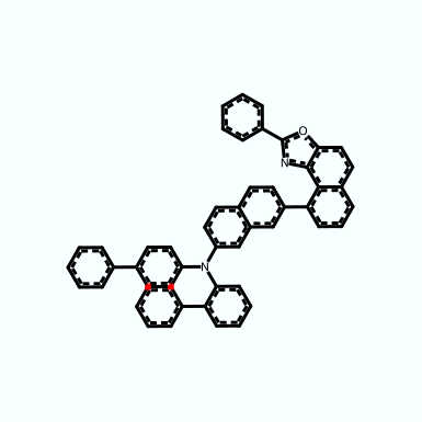 c1ccc(-c2ccc(N(c3ccc4ccc(-c5cccc6ccc7oc(-c8ccccc8)nc7c56)cc4c3)c3ccccc3-c3ccccc3)cc2)cc1